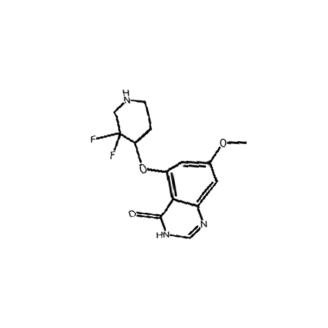 COc1cc(OC2CCNCC2(F)F)c2c(=O)[nH]cnc2c1